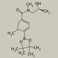 CC1CC(C(=O)N(C)C[C@H](C)O)=CC=C1B1OC(C)(C)C(C)(C)O1